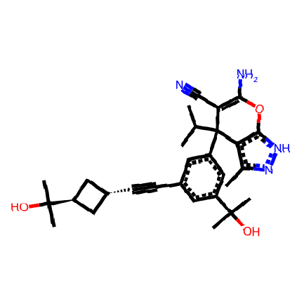 Cc1n[nH]c2c1C(c1cc(C#C[C@H]3C[C@H](C(C)(C)O)C3)cc(C(C)(C)O)c1)(C(C)C)C(C#N)=C(N)O2